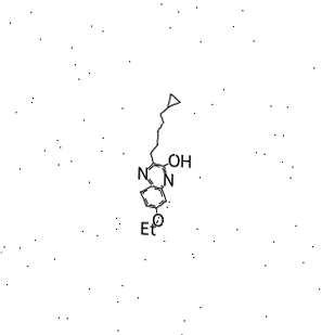 CCOc1ccc2nc(CCCCCC3CC3)c(O)nc2c1